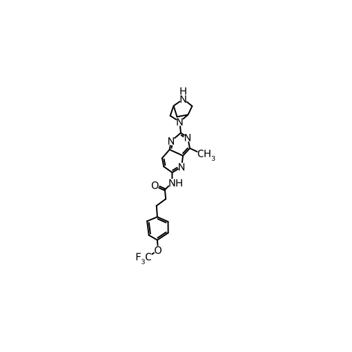 Cc1nc(N2CC3CC2CN3)nc2ccc(NC(=O)CCc3ccc(OC(F)(F)F)cc3)nc12